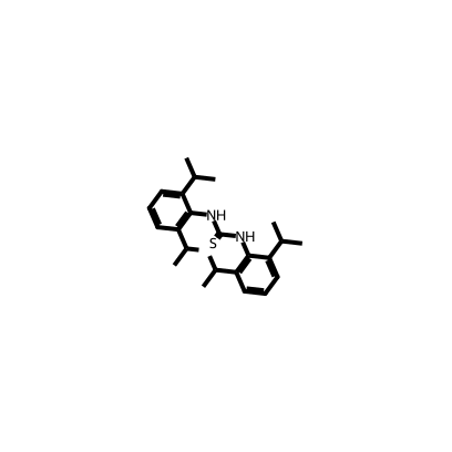 CC(C)c1cccc(C(C)C)c1NC(=S)Nc1c(C(C)C)cccc1C(C)C